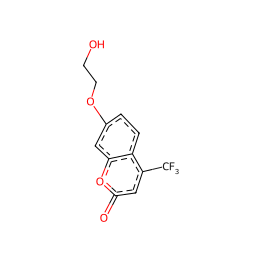 O=c1cc(C(F)(F)F)c2ccc(OCCO)cc2o1